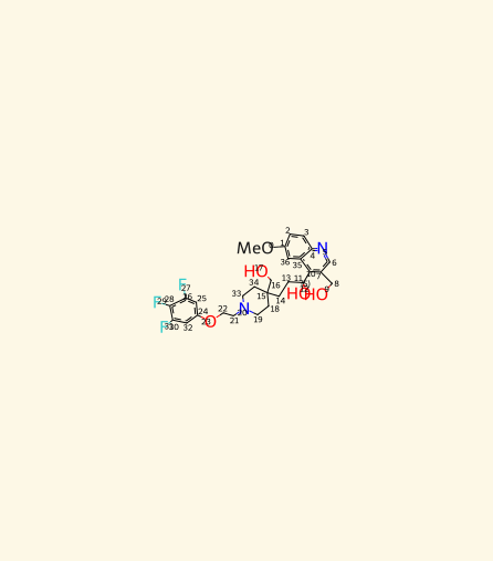 COc1ccc2ncc(CO)c([C@@H](O)CCC3(CO)CCN(CCOc4cc(F)c(F)c(F)c4)CC3)c2c1